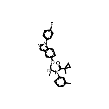 Cc1cccc(N(C(=O)C2(C)CC2)[C@@H](C)COc2ccc3c(cnn3-c3ccc(F)cc3)c2)c1